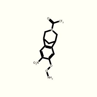 NOOc1cc2c(cc1[N+](=O)[O-])C1CC2CN(C(=O)C(F)(F)F)C1